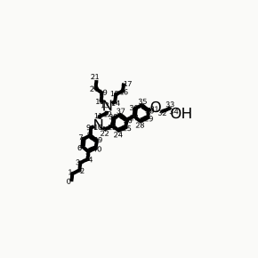 CCCCCc1ccc(CN(CCN(CCCC)CCCC)Cc2ccc(-c3ccc(OCCO)cc3)cc2)cc1